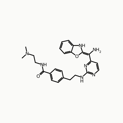 CN(C)CCNC(=O)c1ccc(CCNc2nccc(/C(N)=C3/Nc4ccccc4O3)n2)cc1